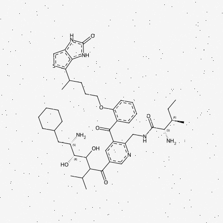 CC[C@@H](C)[C@H](N)C(=O)NCc1ncc(C(=O)C(C(C)C)C(O)[C@H](O)[C@@H](N)CC2CCCCC2)cc1C(=O)c1ccccc1OCCCC(C)c1scc2[nH]c(=O)[nH]c12